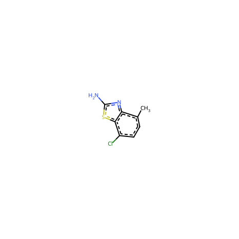 Cc1ccc(Cl)c2sc(N)nc12